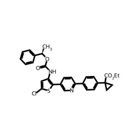 CCOC(=O)C1(c2ccc(-c3ccc(-c4sc(Cl)cc4NC(=O)O[C@H](C)c4ccccc4)cn3)cc2)CC1